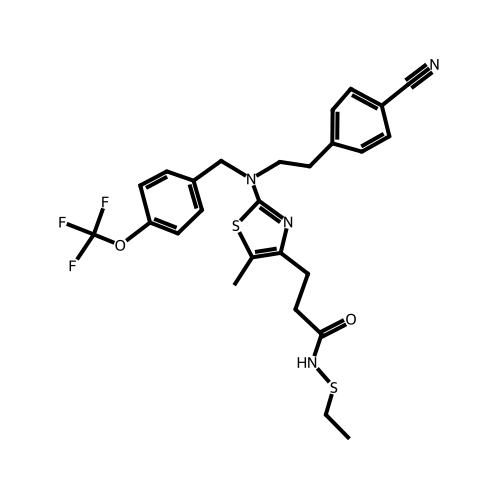 CCSNC(=O)CCc1nc(N(CCc2ccc(C#N)cc2)Cc2ccc(OC(F)(F)F)cc2)sc1C